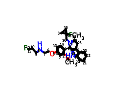 COc1cc(OCCNCCCF)ccc1[C@@H]1c2[nH]c3ccccc3c2C[C@@H](C)N1CC1(F)CC1